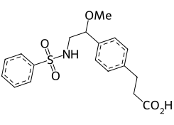 COC(CNS(=O)(=O)c1ccccc1)c1ccc(CCC(=O)O)cc1